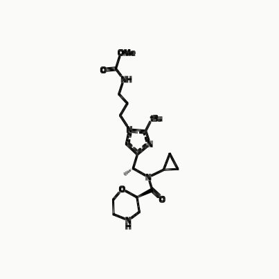 COC(=O)NCCCn1cc([C@@H](C)N(C(=O)[C@H]2CNCCO2)C2CC2)nc1C(C)(C)C